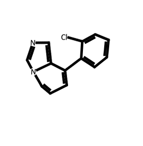 Clc1ccccc1-c1cccn2cncc12